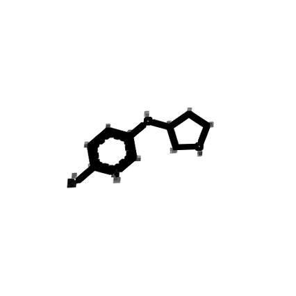 Brc1ccc(OC2CCOC2)cn1